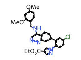 CCOC(=O)c1cnn(-c2ccc(Cl)cc2-c2ccc3c(NCc4ccc(OC)cc4OC)cnnc3c2)c1